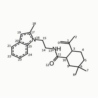 C=C(C)C1CCC(C)(C)CC1C(=O)NCCn1c(C)cc2ccccc21